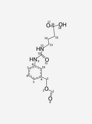 O=COCc1cccc(NC(=O)NCCCC(=O)O)c1